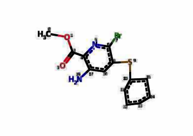 COC(=O)c1nc(Br)c(Sc2ccccc2)cc1N